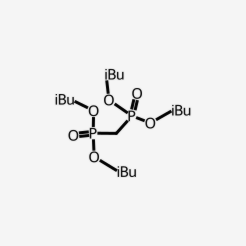 CCC(C)OP(=O)(CP(=O)(OC(C)CC)OC(C)CC)OC(C)CC